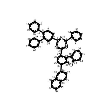 c1ccc(-c2nc(-c3ccc(-c4ccccc4)c(-c4ccccc4)c3)nc(-c3ccc(-c4ccc5ccccc5c4)c4oc5ccccc5c34)n2)cc1